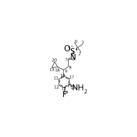 CC(C)(C)[S+]([O-])N=CCC(c1ccc(F)c(N)c1)C1CC1